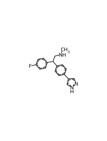 CNCC(c1ccc(F)cc1)c1ccc(-c2cn[nH]c2)cc1